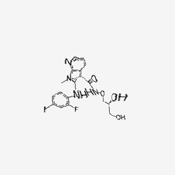 Cn1c(Nc2ccc(I)cc2F)c(C(=O)NOC[C@@H](O)CO)c2cccnc21